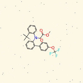 COC(=O)C(=O)N(c1ccccc1-c1ccc(OC(F)(F)F)cc1)c1ccccc1C(C)(C)C